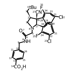 CC(C)(C)C[C@@H]1CN(CC(=O)NCc2ccc(C(=O)O)cc2)[C@H](c2cccc(Cl)c2F)[C@@]1(C#N)c1ccc(Cl)cc1F